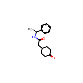 C[C@H](NC(=O)CC1CCC(=O)CC1)c1ccccc1